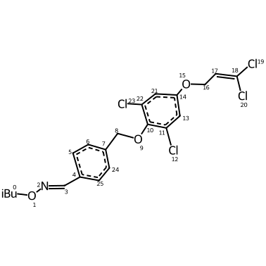 CCC(C)ON=Cc1ccc(COc2c(Cl)cc(OCC=C(Cl)Cl)cc2Cl)cc1